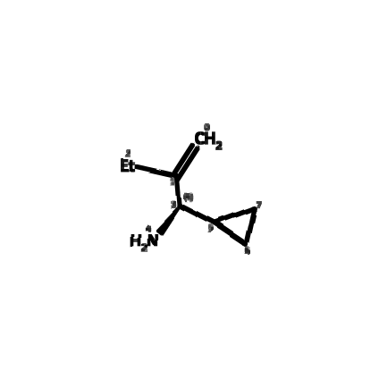 C=C(CC)[C@H](N)C1CC1